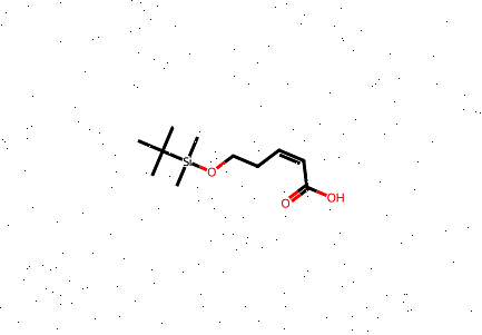 CC(C)(C)[Si](C)(C)OCC/C=C\C(=O)O